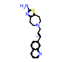 Nc1nc2c(s1)CCN(C/C=C/c1ccc3cccnc3c1)CC2